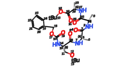 C[C@H](NC(=O)[C@H](C)NC(=O)[C@H](COC(C)(C)C)NC(=O)OCc1ccccc1)C(=O)N[C@@H](C)C(=O)OC(C)(C)C